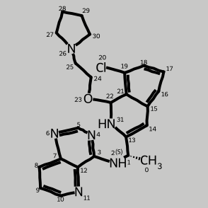 C[C@H](Nc1ncnc2cccnc12)C1=Cc2cccc(Cl)c2C(OCCN2CCCC2)N1